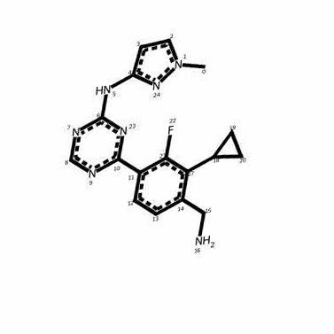 Cn1ccc(Nc2ncnc(-c3ccc(CN)c(C4CC4)c3F)n2)n1